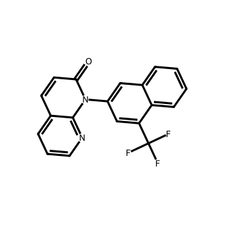 O=c1ccc2cccnc2n1-c1cc(C(F)(F)F)c2ccccc2c1